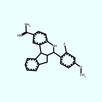 COc1ccc(C2Nc3ccc(C(=N)N)cc3C3c4ccccc4CC23)c(F)c1